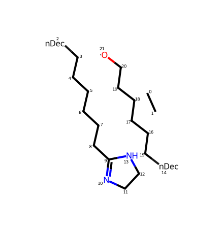 CC.CCCCCCCCCCCCCCCCC1=NCCN1.CCCCCCCCCCCCCCCC[O]